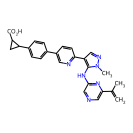 C=C(C)c1cncc(Nc2c(-c3ccc(-c4ccc(C5CC5C(=O)O)cc4)cn3)cnn2C)n1